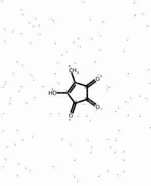 Cc1c(O)c(=O)c(=O)c1=O